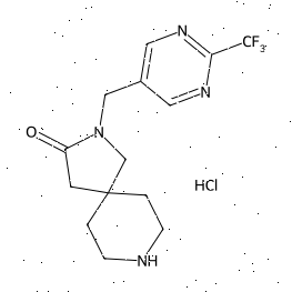 Cl.O=C1CC2(CCNCC2)CN1Cc1cnc(C(F)(F)F)nc1